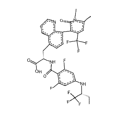 CC[C@@H](Nc1cc(F)c(C(=O)N[C@@H](Cc2ccc(-c3c(C(F)(F)F)cc(C)n(C)c3=O)c3ncccc23)C(=O)O)c(F)c1)C(F)(F)F